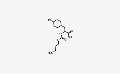 CCCCOC(=O)NC(CC1CCC(O)CC1)C(=O)O